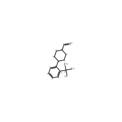 O=CC1CCC(c2ccccc2C(F)(F)F)CC1